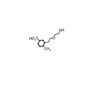 Cc1ccc(S(=O)(=O)O)cc1CCOCCO